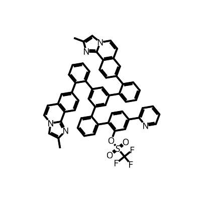 Cc1cn2ccc3cc(-c4ccccc4-c4cc(-c5ccccc5-c5ccc6c(ccn7cc(C)nc67)c5)cc(-c5ccccc5-c5ccc(-c6ccccn6)cc5OS(=O)(=O)C(F)(F)F)c4)ccc3c2n1